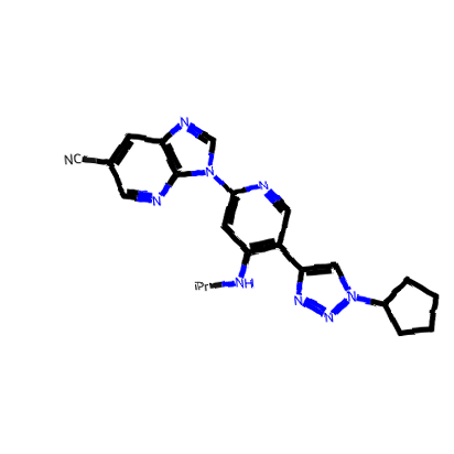 CC(C)Nc1cc(-n2cnc3cc(C#N)cnc32)ncc1-c1cn(C2CCCC2)nn1